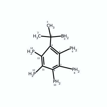 BC(C)(C)c1c(P)c(P)c(P)c(P)c1P